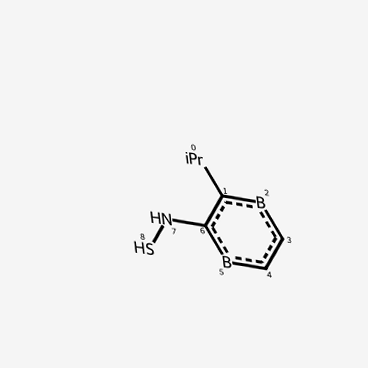 CC(C)c1bccbc1NS